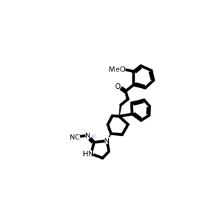 COc1ccccc1C(=O)CC[C@]1(c2ccccc2)CC[C@@H](N2CCN/C2=N\C#N)CC1